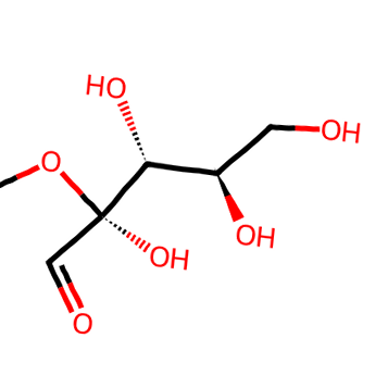 CO[C@](O)(C=O)[C@H](O)[C@H](O)CO